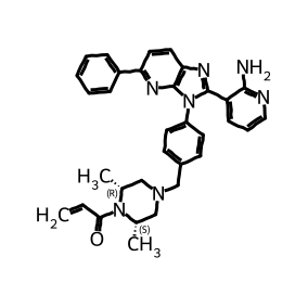 C=CC(=O)N1[C@H](C)CN(Cc2ccc(-n3c(-c4cccnc4N)nc4ccc(-c5ccccc5)nc43)cc2)C[C@@H]1C